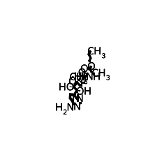 CCCCOC(=O)[C@H](C)N[PH](=O)OC[C@@](CF)(OC)[C@@H](O)[C@@H](O)c1ccc2c(N)ncnn12